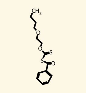 CCCCOCCOC(=S)SC(=O)c1ccccc1